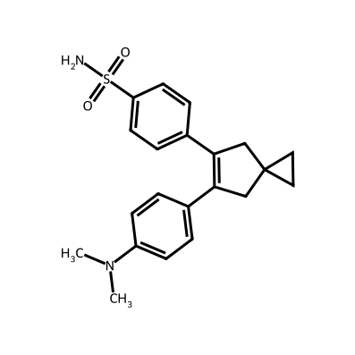 CN(C)c1ccc(C2=C(c3ccc(S(N)(=O)=O)cc3)CC3(CC3)C2)cc1